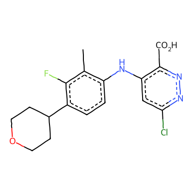 Cc1c(Nc2cc(Cl)nnc2C(=O)O)ccc(C2CCOCC2)c1F